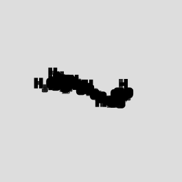 CNC(=O)c1nnccc1Nc1cccc(-c2ncn(CCNC(=O)CCOCCOCCOCCNc3ccc4c(c3)C(=O)N(C3CCC(=O)NC3=O)C4=O)n2)c1OC